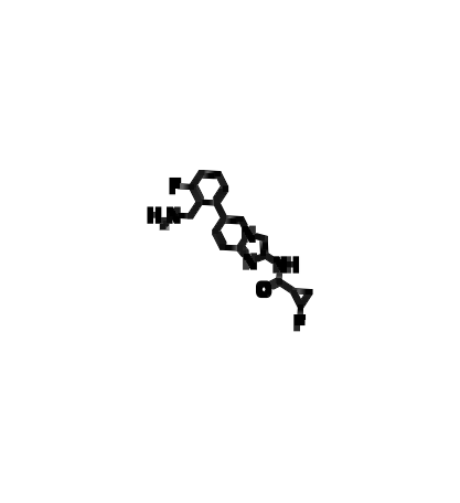 NCc1c(F)cccc1-c1ccc2nc(NC(=O)C3CC3F)cn2c1